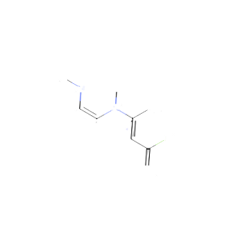 C=C(F)/C=C(\C)N(C)/C=C\NC